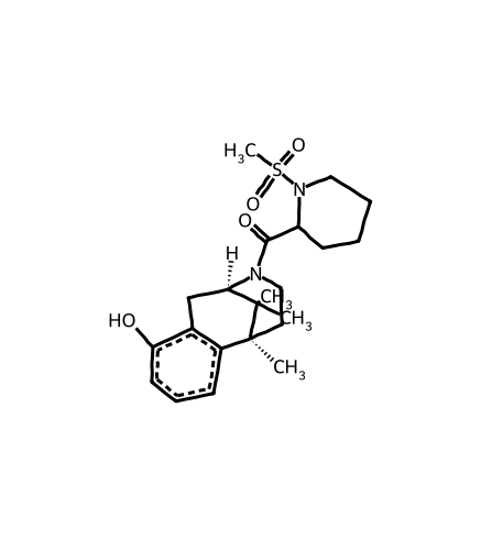 CC1(C)[C@H]2Cc3c(O)cccc3[C@]1(C)CCN2C(=O)C1CCCCN1S(C)(=O)=O